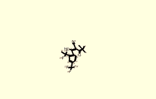 CC(C)(C)C(=O)C(C#N)=C(O)c1ccc(C(F)(F)F)cc1C(C)(F)F